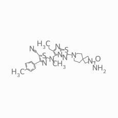 CCc1nc2sc(N3CCC4(CC3)CN(C(N)=O)C4)nn2c1N(C)c1nc(-c2ccc(C)cc2)c(C#N)s1